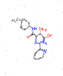 Cc1ccc(NC(=O)c2nc(-c3ccccn3)nc(O)c2O)cc1